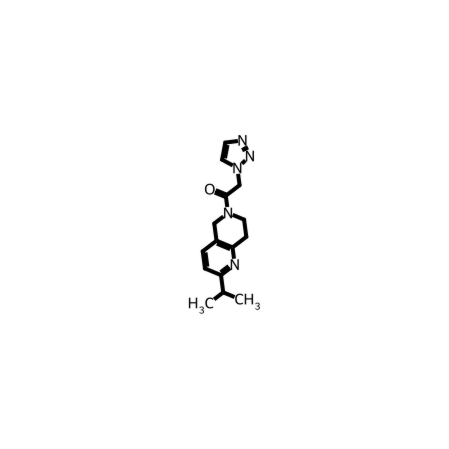 CC(C)c1ccc2c(n1)CCN(C(=O)Cn1ccnn1)C2